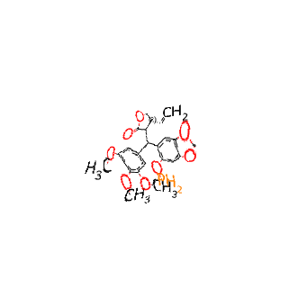 C=C[C@H]1COC(=O)C1C(c1cc(OC)c(OC)c(OC)c1)c1cc2c(cc1OP)OCO2